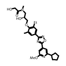 CCc1cc(-c2noc(-c3cc(OC)nc(C4CCCC4)c3)n2)cc(C)c1OC[C@@H](O)CN(C)C(=O)CO